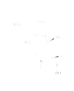 C[C@H]1CN2CCNC[C@H]2C[C@@]1(C)c1cccc(O)c1